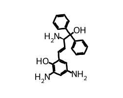 Nc1cc(N)c(O)c(C=C[C@@H](N)C(O)(c2ccccc2)c2ccccc2)c1